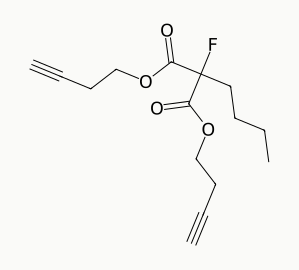 C#CCCOC(=O)C(F)(CCCC)C(=O)OCCC#C